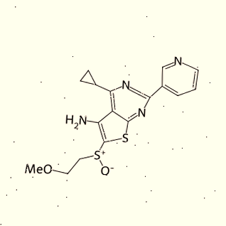 COCC[S+]([O-])c1sc2nc(-c3cccnc3)nc(C3CC3)c2c1N